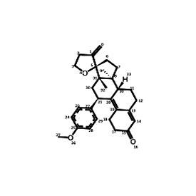 C=C1CCO[C@]12CC[C@@]1(C)[C@@H]3CCC4=CC(=O)CCC4=C3[C@@H](c3ccc(OC)cc3)C[C@@]12C